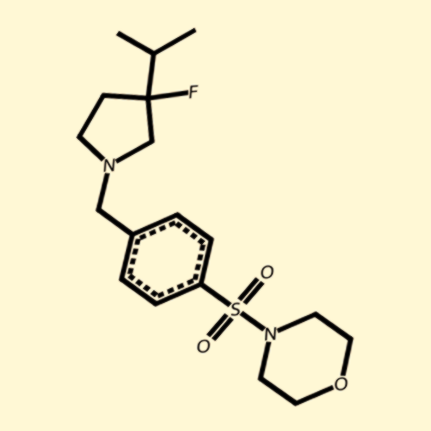 CC(C)C1(F)CCN(Cc2ccc(S(=O)(=O)N3CCOCC3)cc2)C1